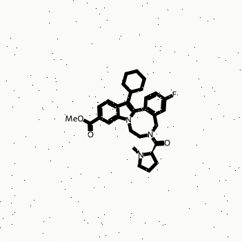 COC(=O)c1ccc2c(C3CCCCC3)c3n(c2c1)CCN(C(=O)[C@H]1CCCN1C)Cc1cc(F)ccc1-3